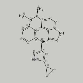 C[C@@H](c1ccc2[nH]cnc2c1)N(C)c1nccc(Nc2cc(C3CC3)[nH]n2)n1